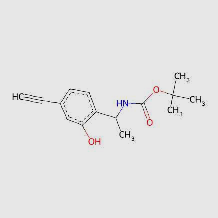 C#Cc1ccc(C(C)NC(=O)OC(C)(C)C)c(O)c1